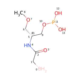 BCC(=O)N[C@H](COC)COP(O)O